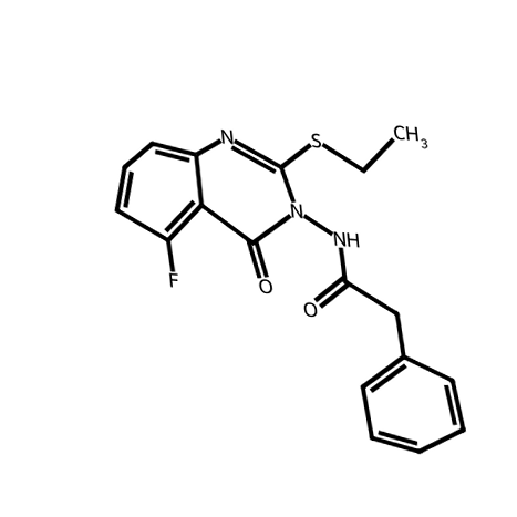 CCSc1nc2cccc(F)c2c(=O)n1NC(=O)Cc1ccccc1